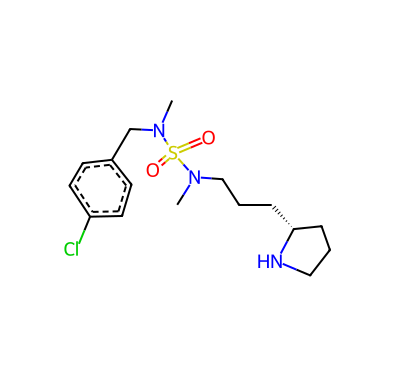 CN(CCC[C@@H]1CCCN1)S(=O)(=O)N(C)Cc1ccc(Cl)cc1